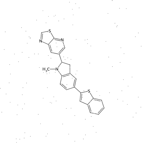 CN1c2ccc(-c3cc4ccccc4s3)cc2CC1c1cnc2scnc2c1